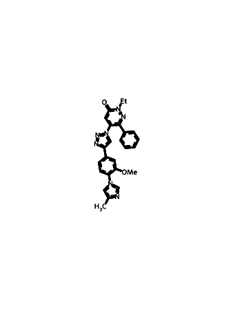 CCn1nc(-c2ccccc2)c(-n2cc(-c3ccc(-n4cnc(C)c4)c(OC)c3)nn2)cc1=O